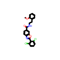 COc1ccccc1CCNC(=O)c1ccc2nc(-c3c(Cl)cccc3Cl)oc2c1